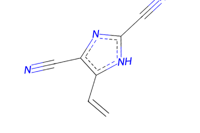 C=Cc1[nH]c(C#N)nc1C#N